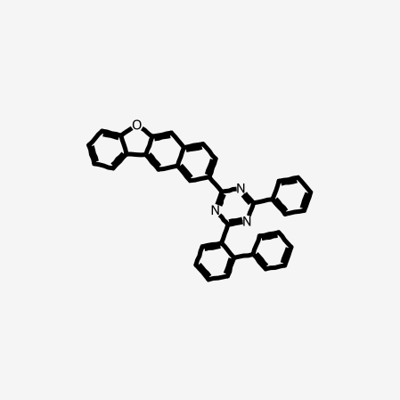 c1ccc(-c2nc(-c3ccc4cc5oc6ccccc6c5cc4c3)nc(-c3ccccc3-c3ccccc3)n2)cc1